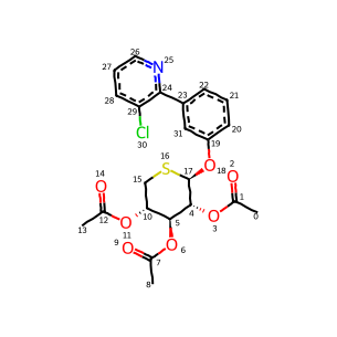 CC(=O)O[C@@H]1[C@@H](OC(C)=O)[C@H](OC(C)=O)CS[C@H]1Oc1cccc(-c2ncccc2Cl)c1